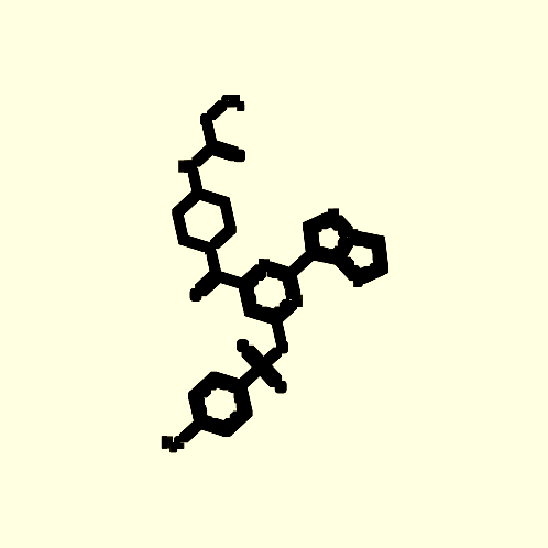 COC(=O)NC1CCN(C(=O)c2cc(OS(=O)(=O)c3ccc(C)cc3)nc(-c3cnn4ccsc34)n2)CC1